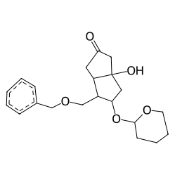 O=C1CC2C(COCc3ccccc3)C(OC3CCCCO3)CC2(O)C1